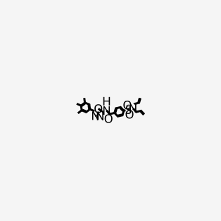 C=CCN(CC=C)S(=O)(=O)c1ccc(C(=O)Nc2nnc(-c3cc(C)c(C)c(C)c3)o2)cc1